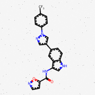 O=C(Nc1c[nH]c2ccc(-c3cnn(-c4ccc(C(F)(F)F)cc4)c3)cc12)c1ccno1